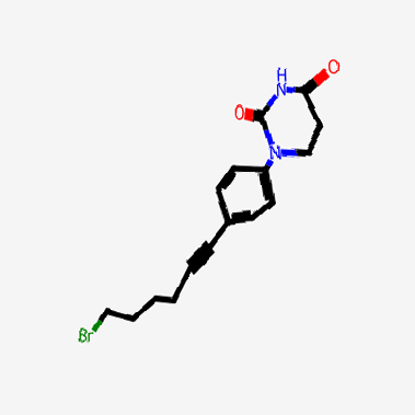 O=C1CCN(c2ccc(C#CCCCCBr)cc2)C(=O)N1